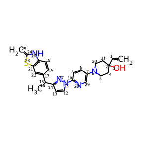 C=CC1(O)CCN(c2ccc(-n3ccc(C(C)c4ccc5c(c4)SC(=C)N5)n3)nc2)CC1